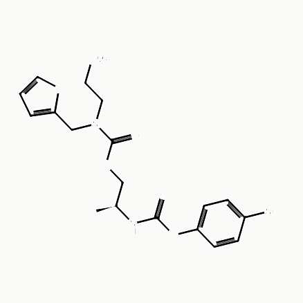 CCCC[C@@H](COC(=O)N(CCOC)Cc1cccs1)NC(=O)Oc1ccc([N+](=O)[O-])cc1